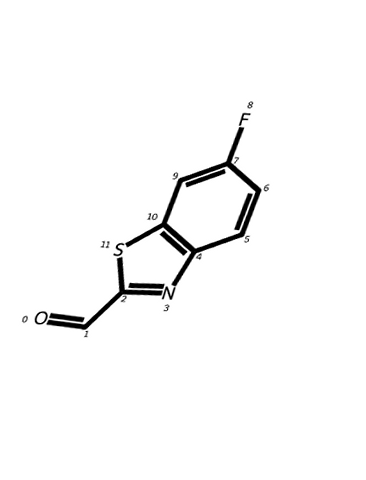 O=Cc1nc2ccc(F)cc2s1